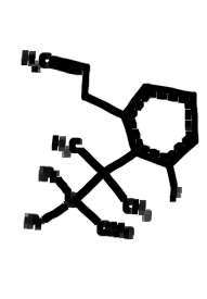 C=CCc1cccc(F)c1C(C)(C)[Si](OC)(C(C)C)C(C)C